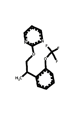 CC(COc1ncccn1)c1ccccc1OC(F)(F)F